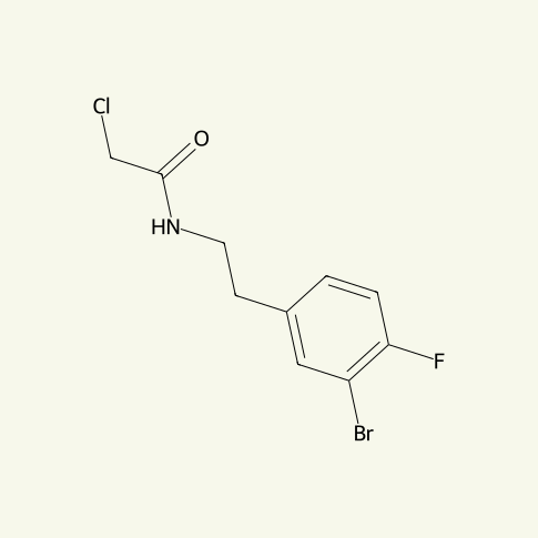 O=C(CCl)NCCc1ccc(F)c(Br)c1